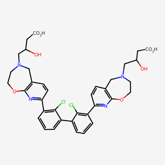 O=C(O)CC(O)CN1CCOc2nc(-c3cccc(-c4cccc(-c5ccc6c(n5)OCCN(CC(O)CC(=O)O)C6)c4Cl)c3Cl)ccc2C1